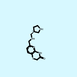 O=C1CSc2ccc(CNC[C@H]3CCNC3)nc2N1